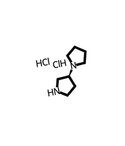 C1CCN([C@H]2CCNC2)C1.Cl.Cl